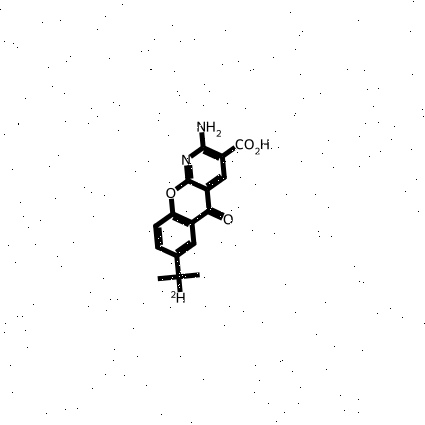 [2H]C(C)(C)c1ccc2oc3nc(N)c(C(=O)O)cc3c(=O)c2c1